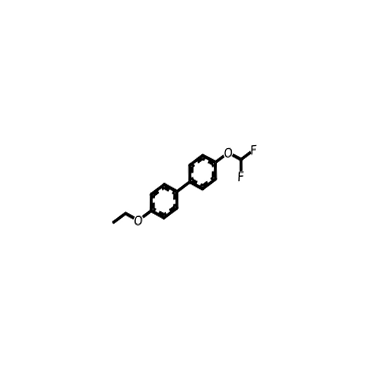 CCOc1ccc(-c2ccc(OC(F)F)cc2)cc1